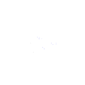 Cc1nc2ccccc2nc1N